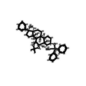 CC1(C)O[C@H]2[C@H](O1)[C@H]1C[C@@H](O[Si](c3ccccc3)(c3ccccc3)C(C)(C)C)CC[C@]1(C)[C@H]1CC[C@@]3(C)[C@@H](CC[C@@]3(O)c3ccccc3)[C@H]21